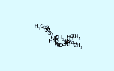 COC(=O)[C@H](COCc1cccc(OCCOS(=O)(=O)c2ccc(C)cc2)c1)NC(=O)Cn1cc(COc2ccc3nc(S(=O)(=O)NC(c4ccccc4)(c4ccc(OC)cc4)c4ccc(OC)cc4)sc3c2)nn1